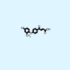 Cc1cc(Cl)ccc1Oc1ccc(C(=O)C=CC(=O)O)cc1